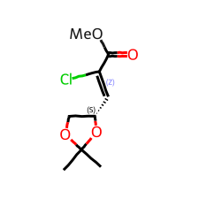 COC(=O)/C(Cl)=C/[C@H]1COC(C)(C)O1